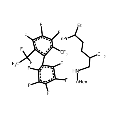 CCCCCCNCC(C)CCC(CC)CCC.Fc1c(F)c(F)c(-c2c(C(F)(F)F)c(F)c(F)c(F)c2C(F)(F)C(F)(F)F)c(F)c1F